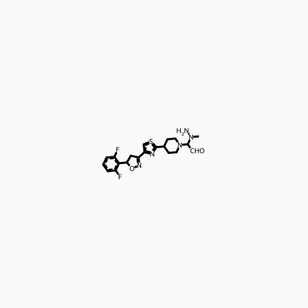 CN(N)C(C=O)N1CCC(c2nc(C3=NOC(c4c(F)cccc4F)C3)cs2)CC1